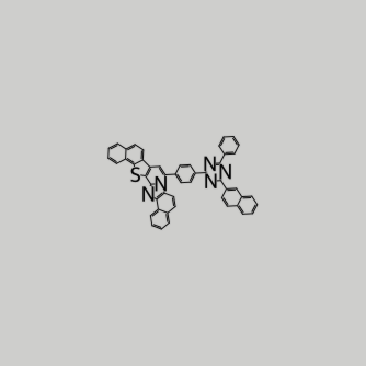 c1ccc(-c2nc(-c3ccc(-c4cc5c6ccc7ccccc7c6sc5c5nc6c7ccccc7ccc6n45)cc3)nc(-c3ccc4ccccc4c3)n2)cc1